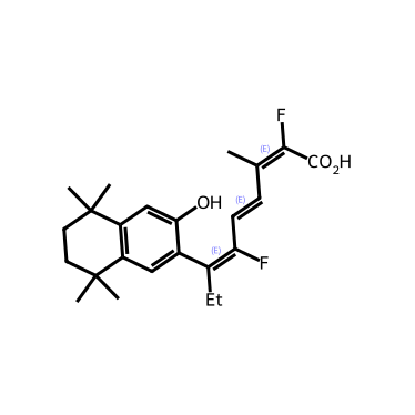 CC/C(=C(F)/C=C/C(C)=C(/F)C(=O)O)c1cc2c(cc1O)C(C)(C)CCC2(C)C